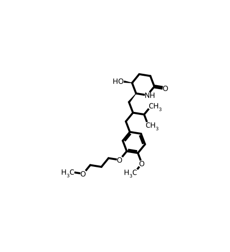 COCCCOc1cc(CC(C[C@@H]2NC(=O)CC[C@@H]2O)C(C)C)ccc1OC